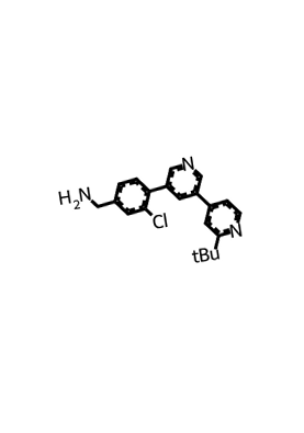 CC(C)(C)c1cc(-c2cncc(-c3ccc(CN)cc3Cl)c2)ccn1